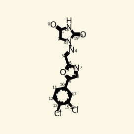 O=C1CN(/N=C/c2ncc(-c3ccc(Cl)c(Cl)c3)o2)C(=O)N1